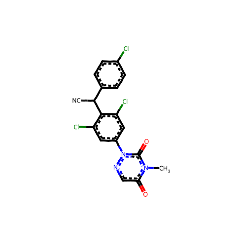 Cn1c(=O)cnn(-c2cc(Cl)c(C(C#N)c3ccc(Cl)cc3)c(Cl)c2)c1=O